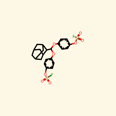 O=S(=O)(F)Oc1ccc(OC(Oc2ccc(OS(=O)(=O)F)cc2)C2C3CC4CC(C3)CC2C4)cc1